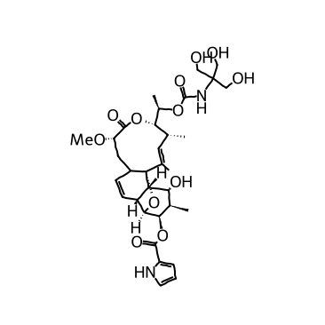 CO[C@H]1CC2C=C[C@H]3[C@H]4O[C@]2(/C(C)=C/[C@@H](C)[C@@H]([C@@H](C)OC(=O)NC(CO)(CO)CO)OC1=O)[C@@H]3[C@H](O)[C@@H](C)[C@H]4OC(=O)c1ccc[nH]1